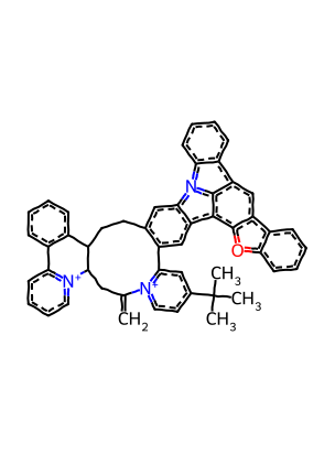 C=C1CC2C(CCc3cc4c(cc3-c3cc(C(C)(C)C)cc[n+]31)c1c3oc5ccccc5c3cc3c5ccccc5n4c31)c1ccccc1-c1cccc[n+]12